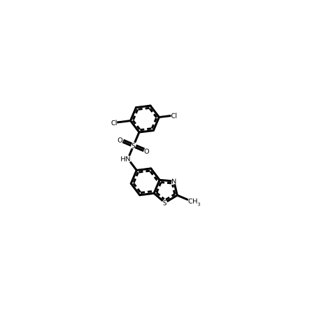 Cc1nc2cc(NS(=O)(=O)c3cc(Cl)ccc3Cl)ccc2s1